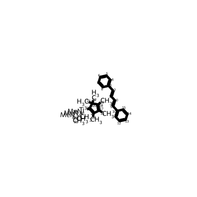 C(C=Cc1ccccc1)=Cc1ccccc1.CC1=C(C)C(C)(C)[C]([Ti+3])=C1C.C[N-]C.C[N-]C.C[N-]C